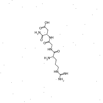 N=C(N)NCCCC(N)C(=O)NCC(=O)NC(CC(=O)O)C(N)=O